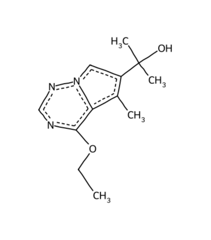 CCOc1ncnn2cc(C(C)(C)O)c(C)c12